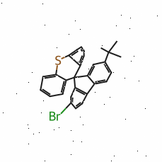 CC(C)(C)c1ccc2c(c1)C1(c3ccccc3Sc3ccccc31)c1cc(Br)ccc1-2